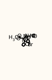 COC(=O)CC[C@@H]1N=C(c2ccccc2Cl)c2cc(Br)ccc2-n2c(SCN3CCOCC3)nnc21